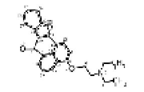 CCN(CC)CCOc1ccc2c3c(cccc13)C(=O)c1c-2oc2ccccc12